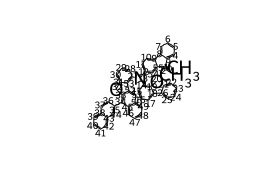 CC1(C)c2ccccc2-c2ccc(N(c3cccc4c3oc3ccccc34)c3cccc4oc5c(-c6ccc7ccccc7c6)c6ccccc6cc5c34)cc21